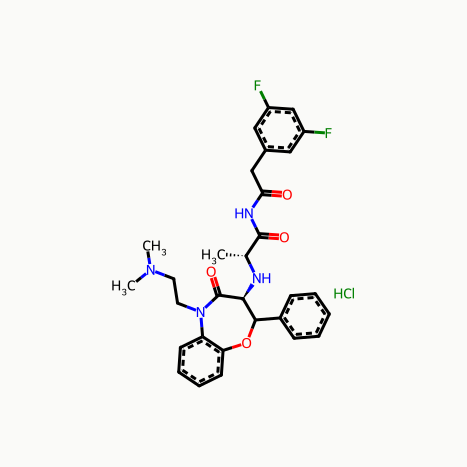 C[C@@H](N[C@@H]1C(=O)N(CCN(C)C)c2ccccc2OC1c1ccccc1)C(=O)NC(=O)Cc1cc(F)cc(F)c1.Cl